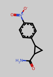 NC(=O)C1CC1c1ccc([N+](=O)[O-])cc1